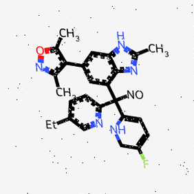 CCc1ccc(C(N=O)(C2=CC=C(F)CN2)c2cc(-c3c(C)noc3C)cc3[nH]c(C)nc23)nc1